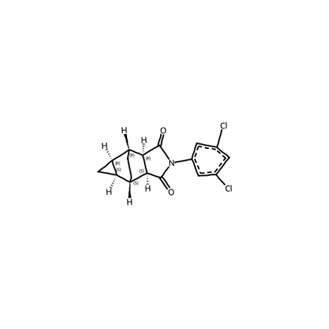 O=C1[C@@H]2[C@@H]3CC[C@@H]([C@H]4C[C@H]43)[C@@H]2C(=O)N1c1cc(Cl)cc(Cl)c1